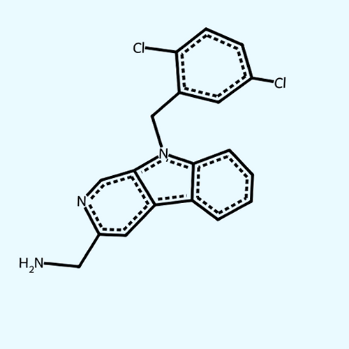 NCc1cc2c3ccccc3n(Cc3cc(Cl)ccc3Cl)c2cn1